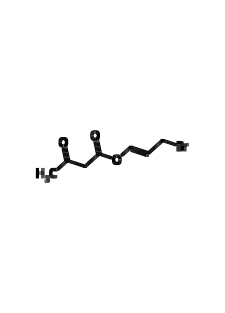 CC(=O)CC(=O)OC=CCBr